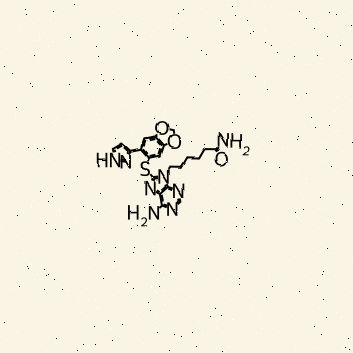 NC(=O)CCCCCn1c(Sc2cc3c(cc2-c2cc[nH]n2)OCO3)nc2c(N)ncnc21